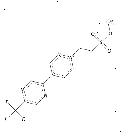 COS(=O)(=O)CC[n+]1ccc(-c2cnc(C(F)(F)F)cn2)cn1